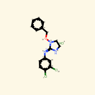 Cl.Clc1ccc(/N=C2\NCCN2OCc2ccccc2)cc1Cl